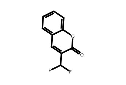 O=c1oc2ccccc2cc1C(F)F